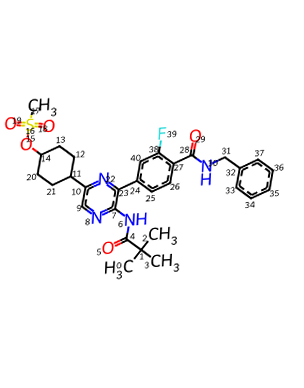 CC(C)(C)C(=O)Nc1ncc(C2CCC(OS(C)(=O)=O)CC2)nc1-c1ccc(C(=O)NCc2ccccc2)c(F)c1